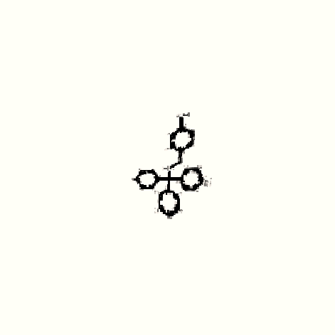 Br.Oc1ccc(CPC(c2ccccc2)(c2ccccc2)c2ccccc2)cc1